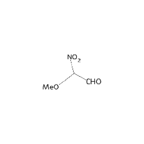 COC(C=O)[N+](=O)[O-]